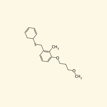 COCCCOc1cccc(CSC2C=CC=CC2)c1C